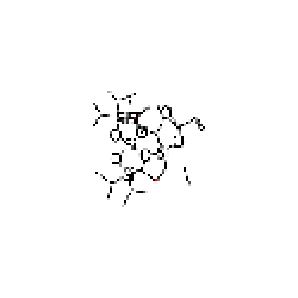 C=CC(=O)O[Si](O[Si](O[Si](C)(C)C)(O[Si](C(C)C)(C(C)C)C(C)C)O[Si](C(C)C)(C(C)C)C(C)C)(C(C)CC)C(C)CC